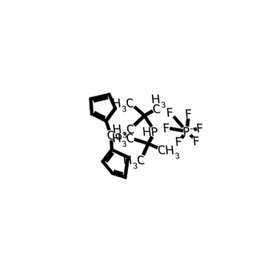 C1=CC[C]([Co+][C]2=CC=CC2)=C1.CC(C)(C)PC(C)(C)C.F[P-](F)(F)(F)(F)F